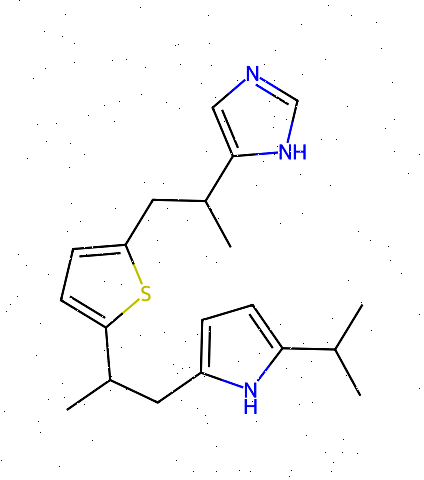 CC(C)c1ccc(CC(C)c2ccc(CC(C)c3cnc[nH]3)s2)[nH]1